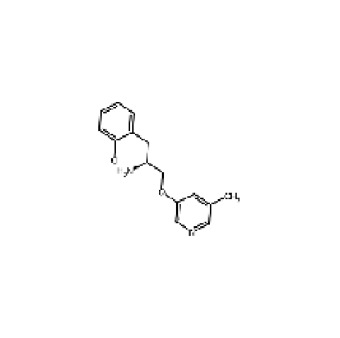 Cc1cncc(OC[C@@H](N)Cc2ccccc2Cl)c1